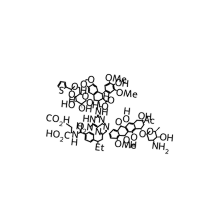 CCC(Cc1cnc2nc(=N)[nH]c(N)c2n1)c1ccc(C(=O)N[C@@H](CCC(=O)O)C(=O)O)cc1.COc1cc([C@@H]2c3cc4c(cc3[C@@H](O[C@@H]3O[C@@H]5COC(c6cccs6)O[C@H]5[C@H](O)[C@H]3O)[C@H]3COC(=O)[C@H]23)OCO4)cc(OC)c1O.COc1cccc2c1C(=O)c1c(O)c3c(c(O)c1C2=O)C[C@@](O)(C(C)=O)C[C@@H]3O[C@H]1C[C@H](N)[C@H](O)[C@H](C)O1